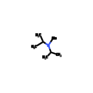 CC(C)[N]([Mo])C(C)C